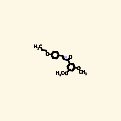 CCCOc1ccc(/C=C/C(=O)c2cc(OC)cc(OC)c2)cc1